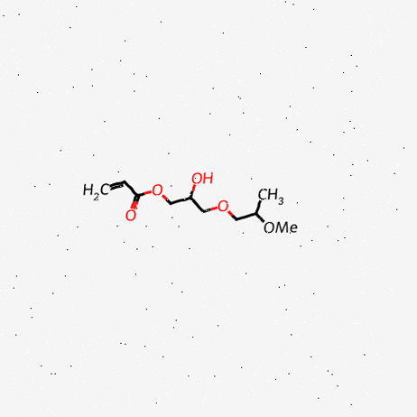 C=CC(=O)OCC(O)COCC(C)OC